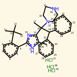 Cc1[nH]c(-c2ccccc2C(C)(C)C)nc1C(C)(C(c1ccccc1)c1ccccc1)N1CCNCC1.Cl.Cl.Cl